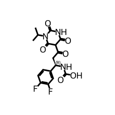 CC(C)N1C(=O)NC(=O)C(C(=O)C[C@@H](NC(=O)O)c2ccc(F)c(F)c2)C1=O